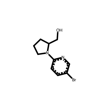 OCC1CCCN1c1ccc(Br)cn1